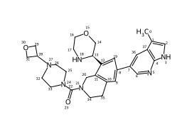 Cc1c[nH]c2ncc(-c3cc4c(c([C@@H]5COCCN5)c3)CN(C(=O)N3CCN(C5COC5)CC3)CC4)cc12